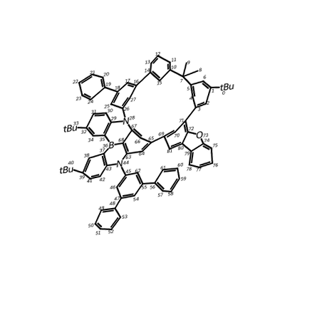 CC(C)(C)c1cc2cc(c1)C(C)(C)c1cccc(c1)-c1cc(-c3ccccc3)cc(c1)N1c3ccc(C(C)(C)C)cc3B3c4cc(C(C)(C)C)ccc4N(c4cc(-c5ccccc5)cc(-c5ccccc5)c4)c4cc(cc1c43)-c1cc-2c2oc3ccccc3c2c1